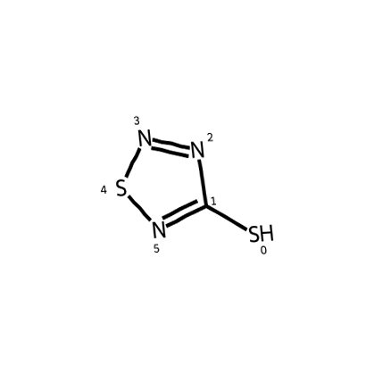 Sc1nnsn1